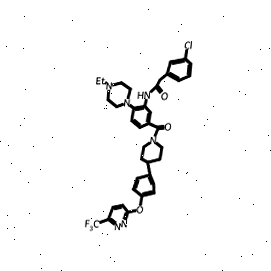 CCN1CCN(c2ccc(C(=O)N3CCC(c4ccc(Oc5ccc(C(F)(F)F)nn5)cc4)CC3)cc2NC(=O)Cc2cccc(Cl)c2)CC1